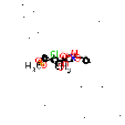 Cc1cc(-c2cccc(S(C)(=O)=O)c2)c(Cl)cc1C1=C(O)C2(CCN(C(=O)OCc3ccccc3)CC2)OC1=O